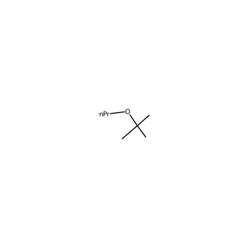 CC[CH]OC(C)(C)C